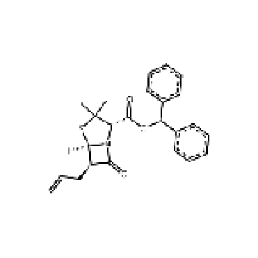 C=CC[C@@H]1C(=O)N2[C@@H]1SC(C)(C)[C@@H]2C(=O)OC(c1ccccc1)c1ccccc1